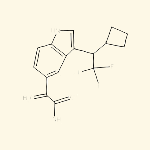 C=C(C(N)=O)c1ccc2[nH]cc(C(C3CCC3)C(F)(F)F)c2c1